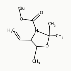 C=CC1C(C)OC(C)(C)N1C(=O)OC(C)(C)C